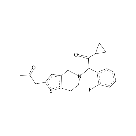 CC(=O)Cc1cc2c(s1)CCN(C(C(=O)C1CC1)c1ccccc1F)C2